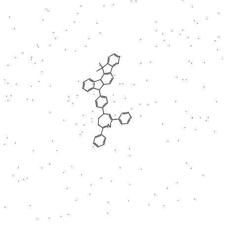 CC1(C)C2=C(C=CC3C2c2ccccc2C3c2ccc(C3C=C(c4ccccc4)N=C(c4ccccc4)CC3)cc2)c2ccccc21